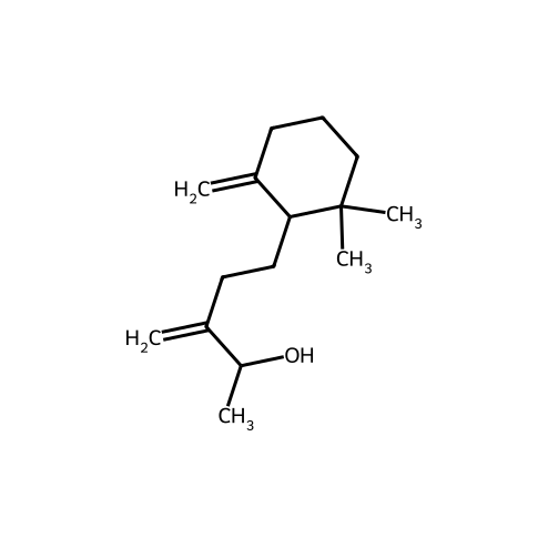 C=C(CCC1C(=C)CCCC1(C)C)C(C)O